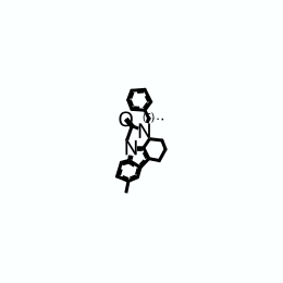 Cc1ccc2c(c1)c1c3n2CC(=O)N([C@@H](C)c2ccccc2)C3CCC1